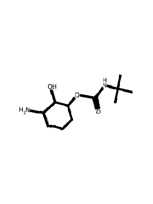 CC(C)(C)NC(=O)OC1CCCC(N)C1O